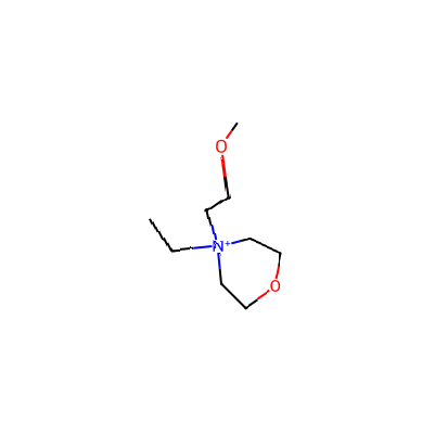 CC[N+]1(CCOC)CCOCC1